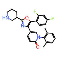 Cc1cccc(C)c1-n1cc(-c2nc(C3CCCNC3)oc2-c2ccc(F)cc2F)ccc1=O